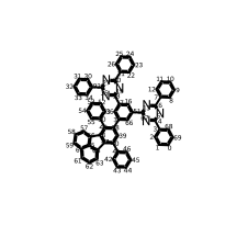 c1ccc(-c2nc(-c3ccccc3)nc(-c3cc(-c4nc(-c5ccccc5)nc(-c5ccccc5)n4)cc(-c4cc(-c5ccccc5)c5c(c4-c4ccccc4)-c4cccc6cccc-5c46)c3)n2)cc1